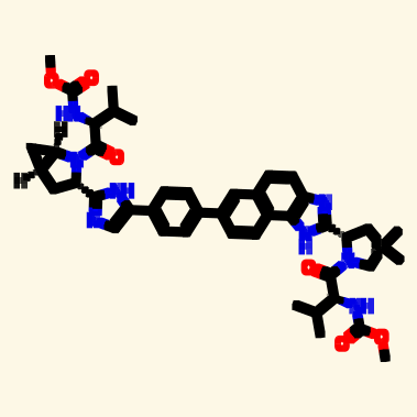 COC(=O)N[C@H](C(=O)N1C[Si](C)(C)C[C@H]1c1nc2ccc3cc(-c4ccc(-c5cnc([C@@H]6C[C@H]7C[C@H]7N6C(=O)[C@@H](NC(=O)OC)C(C)C)[nH]5)cc4)ccc3c2[nH]1)C(C)C